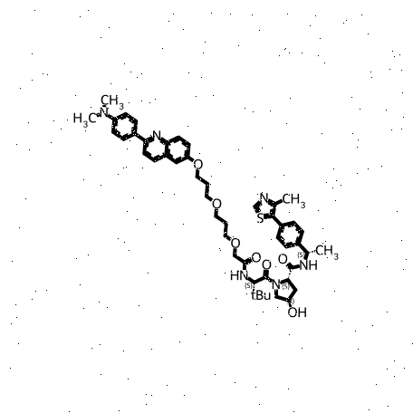 Cc1ncsc1-c1ccc([C@H](C)NC(=O)[C@@H]2C[C@@H](O)CN2C(=O)[C@@H](NC(=O)COCCCOCCCOc2ccc3nc(-c4ccc(N(C)C)cc4)ccc3c2)C(C)(C)C)cc1